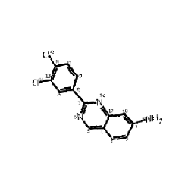 Nc1ccc2cnc(-c3ccc(Cl)c(Cl)c3)nc2c1